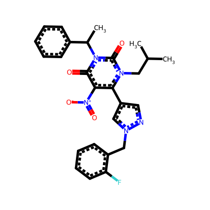 CC(C)Cn1c(-c2cnn(Cc3ccccc3F)c2)c([N+](=O)[O-])c(=O)n(C(C)c2ccccc2)c1=O